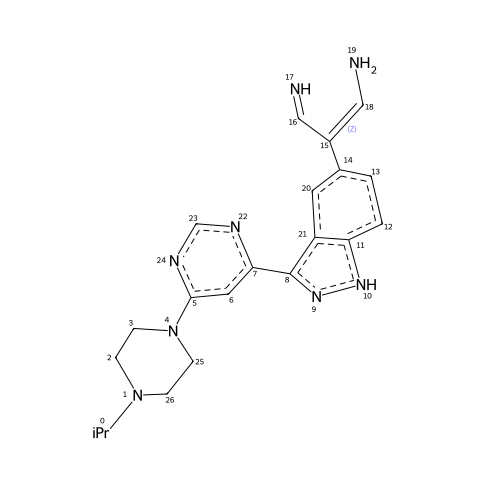 CC(C)N1CCN(c2cc(-c3n[nH]c4ccc(/C(C=N)=C/N)cc34)ncn2)CC1